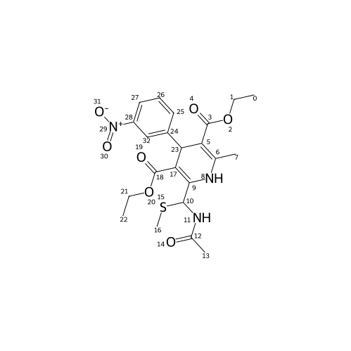 CCOC(=O)C1=C(C)NC(C(NC(C)=O)SC)=C(C(=O)OCC)C1c1cccc([N+](=O)[O-])c1